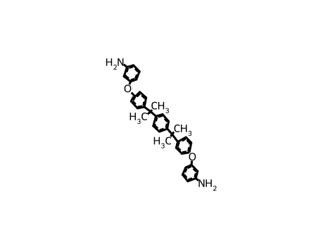 CC(C)(c1ccc(Oc2cccc(N)c2)cc1)c1ccc(C(C)(C)c2ccc(Oc3cccc(N)c3)cc2)cc1